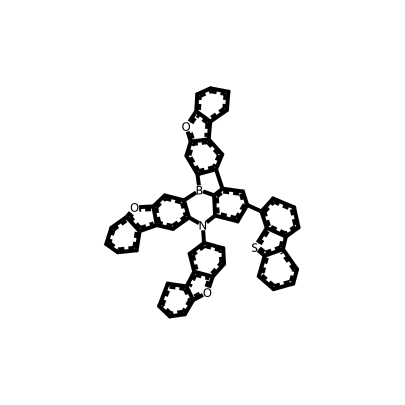 c1ccc2c(c1)oc1ccc(N3c4cc5c(cc4B4c6cc7oc8ccccc8c7cc6-c6cc(-c7cccc8c7sc7ccccc78)cc3c64)oc3ccccc35)cc12